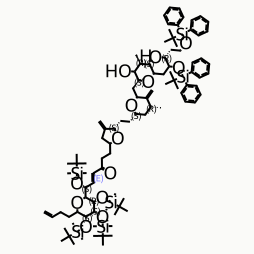 C=CCCC1OC([C@H](/C=C/C(=O)CCC2CC(=C)[C@H](CC[C@H]3C[C@@H](C)C(=C)C(C[C@@H]4OC5CC(O[Si](c6ccccc6)(c6ccccc6)C(C)(C)C)[C@@H](CCO[Si](c6ccccc6)(c6ccccc6)C(C)(C)C)O[C@H]5[C@H](C)C4O)O3)O2)O[Si](C)(C)C(C)(C)C)[C@@H](O[Si](C)(C)C(C)(C)C)[C@@H](O[Si](C)(C)C(C)(C)C)[C@H]1O[Si](C)(C)C(C)(C)C